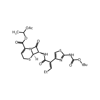 CC/C=C(\C(=O)N[C@@H]1C(=O)N2C(C(=O)OC(C)OC(C)=O)=CCS[C@H]12)c1csc(NC(=O)OC(C)(C)C)n1